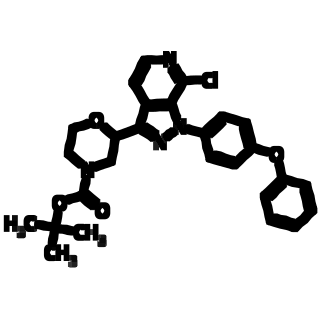 CC(C)(C)OC(=O)N1CCOC(c2nn(-c3ccc(Oc4ccccc4)cc3)c3c(Cl)nccc23)C1